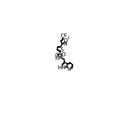 O=S(=O)(NCc1c[nH]c2ncccc12)c1ccc(-c2cc(C(F)(F)F)on2)s1